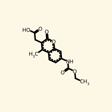 CCOC(=O)Nc1ccc2c(C)c(CC(=O)O)c(=O)oc2c1